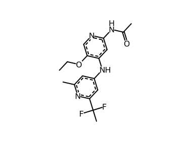 CCOc1cnc(NC(C)=O)cc1Nc1cc(C)nc(C(C)(F)F)c1